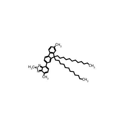 CCCCCCCCCCCCC1(CCCCCCCCCCCC)c2cc(C)ccc2-c2ccc(-c3ccc(C)c4nn(C)nc34)cc21